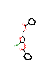 O=C(OC[C@@H]1C[C@@H](OC(=O)c2ccccc2)C(Br)O1)c1ccccc1